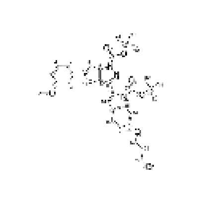 COc1cccc(-c2cc3c(s2)c(-c2cc4ccc(OCCCBr)cc4n2C(=O)OC(C)(C)C)nn3C(=O)OC(C)(C)C)c1